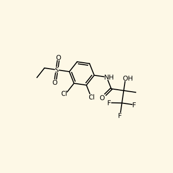 CCS(=O)(=O)c1ccc(NC(=O)C(C)(O)C(F)(F)F)c(Cl)c1Cl